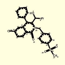 CCCC(O)c1c(-c2ccccc2)c2cc(Cl)ccc2c(=O)n1Cc1ccc(S(C)(=O)=O)cc1